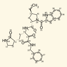 C=C[C@@H]1C[C@@H](C(=O)N[C@@H](CC[C@@H]2CCNC2=O)C(=O)C(=O)NCc2ccccc2)N(C(=O)c2cc3ccccc3[nH]2)C1